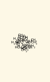 C=C(C)[C@H]1Cc2c(ccc3c2O[C@@H]2COc4cc(OC)c(OC)cc4[C@@H]2C3=O)O1.C[N+](C)(C)CCO.N=C(N)Nc1nc(CSCCC(=N)NS(N)(=O)=O)cs1